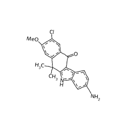 COc1cc2c(cc1Cl)C(=O)c1c([nH]c3cc(N)ccc13)C2(C)C